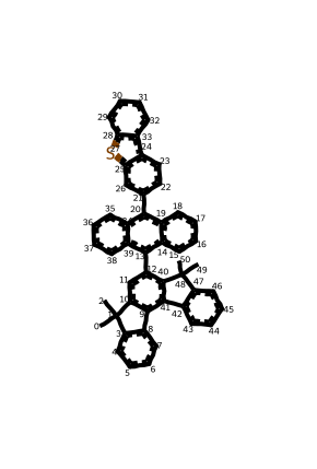 CC1(C)c2ccccc2-c2c1cc(-c1c3ccccc3c(-c3ccc4c(c3)sc3ccccc34)c3ccccc13)c1c2-c2ccccc2C1(C)C